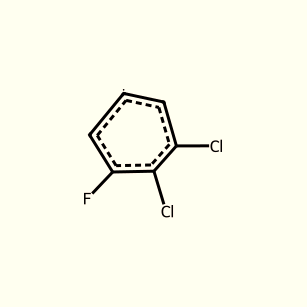 Fc1c[c]cc(Cl)c1Cl